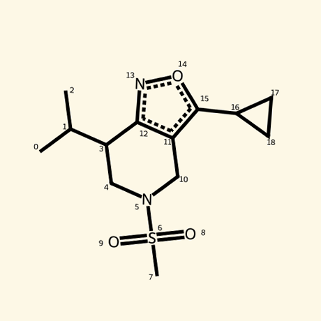 CC(C)C1CN(S(C)(=O)=O)Cc2c1noc2C1CC1